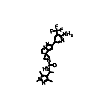 Cc1nn(C)c(C)c1C(C)NC(=O)N1CC2(CCn3nc(-c4cnc(N)c(C(F)(F)F)c4)cc32)C1